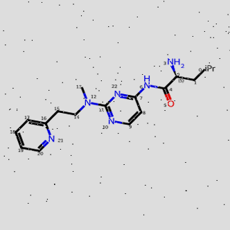 CC(C)C[C@H](N)C(=O)Nc1ccnc(N(C)CCc2ccccn2)n1